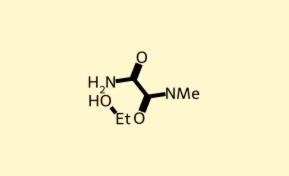 CCO.CNC(=O)C(N)=O